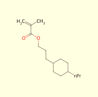 C=C(C)C(=O)OCCCC1CCC(CCC)CC1